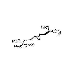 CO[Si](CCCOCC=C(O)C(=O)O)(OC)OC